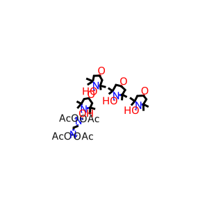 CC(=O)ON(CCN(OC(C)=O)OC(C)=O)OC(C)=O.CC1(C)CC(=O)CC(C)(C)N1O.CC1(C)CC(=O)CC(C)(C)N1O.CC1(C)CC(=O)CC(C)(C)N1O.CC1(C)CC(=O)CC(C)(C)N1O